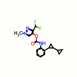 Cn1cc(OC(=O)Nc2ccccc2C2CC2C2CC2)c(C(F)F)n1